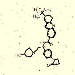 CC(C)(C)C1CCc2nc3ccc(C(=O)N[C@H](CCN4CCC(O)CC4)c4ccc(N5CCOC5=O)cc4)cc3cc2C1